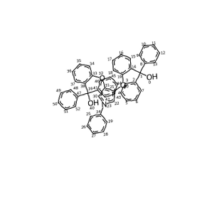 OC(c1ccccc1)(c1ccccc1)c1ccccc1Oc1cn(-c2ccccc2)cc1Oc1ccccc1C(O)(c1ccccc1)c1ccccc1